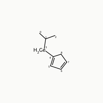 C[CH](C)[GeH2][C]1=CC=CC1